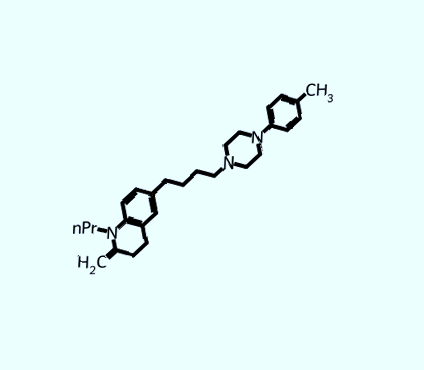 C=C1CCc2cc(CCCCN3CCN(c4ccc(C)cc4)CC3)ccc2N1CCC